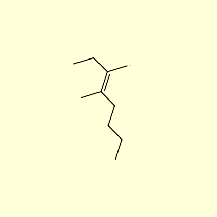 [CH2]C(CC)=C(C)CCCC